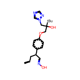 C=CCC(C=NO)c1ccc(OCC(O)(Cn2cncn2)C(C)(C)C)cc1